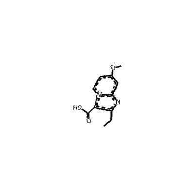 CCc1nc2cc(OC)ccn2c1C(=O)O